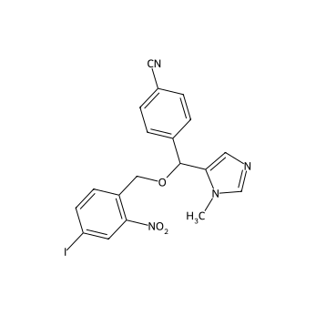 Cn1cncc1C(OCc1ccc(I)cc1[N+](=O)[O-])c1ccc(C#N)cc1